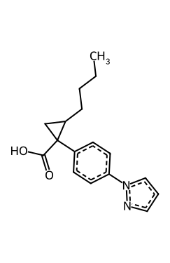 CCCCC1CC1(C(=O)O)c1ccc(-n2cccn2)cc1